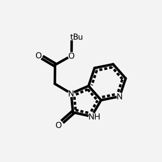 CC(C)(C)OC(=O)Cn1c(=O)[nH]c2ncccc21